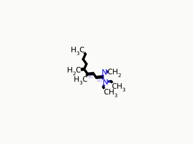 C=N/C(=C\C=C(/C)C(=C)CCCC)N(CC)CC